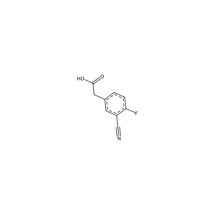 N#Cc1cc(CC(=O)O)ccc1F